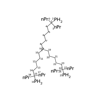 CCCC(P)(CCC)CCCCCP(CCCCCC(P)(CCC)CCC)CCCCCC(P)(CCC)CCC